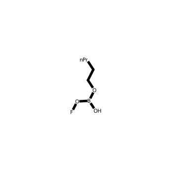 CCCCCOB(O)OF